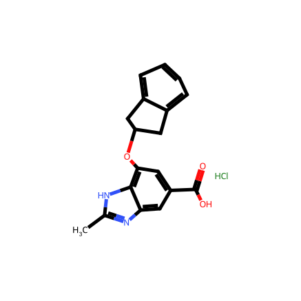 Cc1nc2cc(C(=O)O)cc(OC3Cc4ccccc4C3)c2[nH]1.Cl